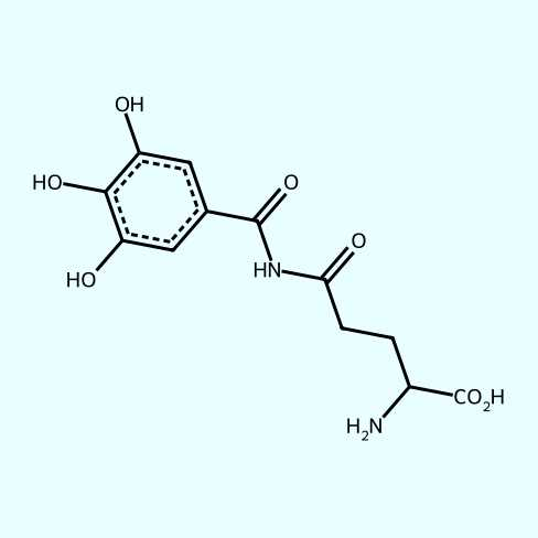 NC(CCC(=O)NC(=O)c1cc(O)c(O)c(O)c1)C(=O)O